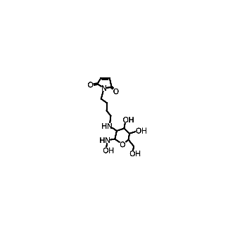 O=C1C=CC(=O)N1CCCCNC1C(NO)OC(CO)C(O)C1O